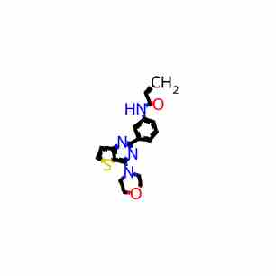 C=CC(=O)Nc1cccc(-c2nc(N3CCOCC3)c3sccc3n2)c1